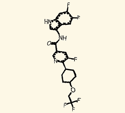 O=C(Nc1c[nH]c2cc(F)c(F)cc12)c1cnc(C2CCC(OCC(F)(F)F)CC2)c(F)c1